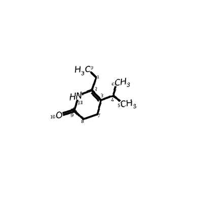 CCC1=C(C(C)C)CCC(=O)N1